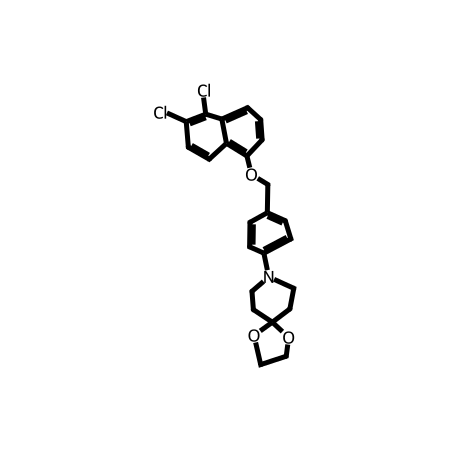 Clc1ccc2c(OCc3ccc(N4CCC5(CC4)OCCO5)cc3)cccc2c1Cl